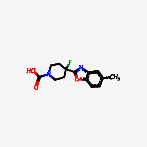 Cc1ccc2oc(C3(F)CCN(C(=O)O)CC3)nc2c1